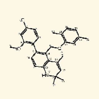 COc1cc(Cl)ccc1-c1ccc2c(c1COc1cc(C)ccc1C)C(C)=CC(C)(C)N2